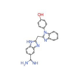 N=C(N)c1ccc2[nH]c(Cc3nc4ccccc4n3-c3ccc(O)cc3)nc2c1